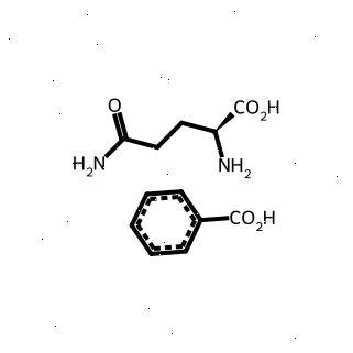 NC(=O)CC[C@H](N)C(=O)O.O=C(O)c1ccccc1